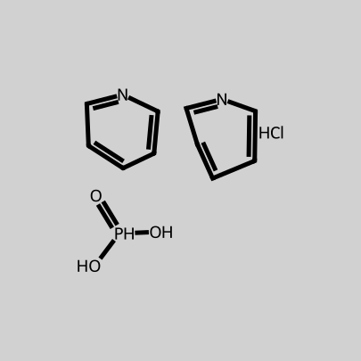 Cl.O=[PH](O)O.c1ccncc1.c1ccncc1